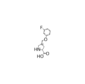 O=C(O)C1C[C@H](COc2cccc(F)c2)CN1